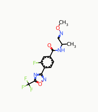 CON=CC(C)NC(=O)c1ccc(-c2noc(C(F)(F)F)n2)c(F)c1